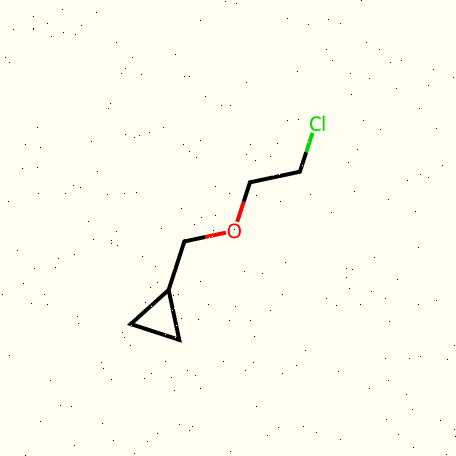 ClCCOCC1CC1